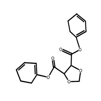 O=C(OC1=CC=CCC1)C1OCOC1C(=O)OC1=CC=CCC1